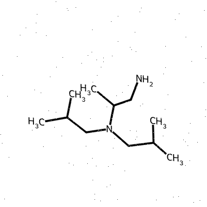 CC(C)CN(CC(C)C)C(C)CN